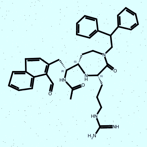 CC(=O)N[C@H](Cc1ccc2ccccc2c1C=O)[C@@H]1CCN(CC(c2ccccc2)c2ccccc2)C(=O)[C@H](CCCNC(=N)N)N1